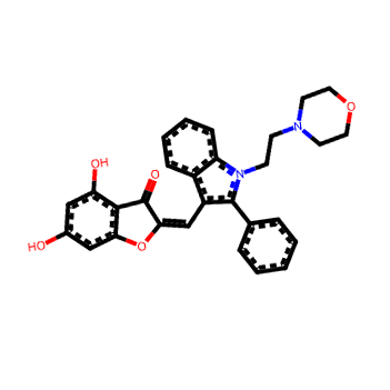 O=C1C(=Cc2c(-c3ccccc3)n(CCN3CCOCC3)c3ccccc23)Oc2cc(O)cc(O)c21